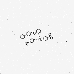 COC(=O)c1ccc(CN(CCc2ccc(C#N)cc2)CCc2ccccc2OCc2ccc(-c3ccccc3)cc2)cc1